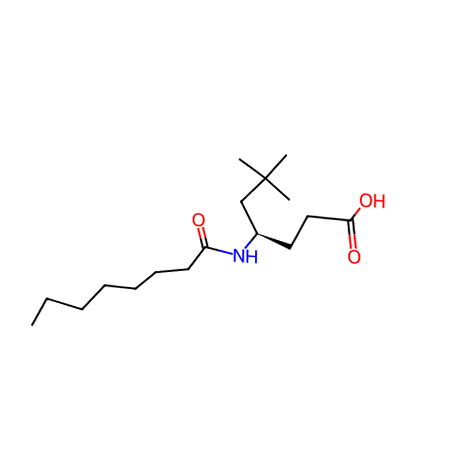 CCCCCCCC(=O)N[C@H](CCC(=O)O)CC(C)(C)C